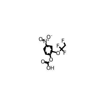 O=C(O)Oc1ccc([N+](=O)[O-])cc1OC(F)(F)CF